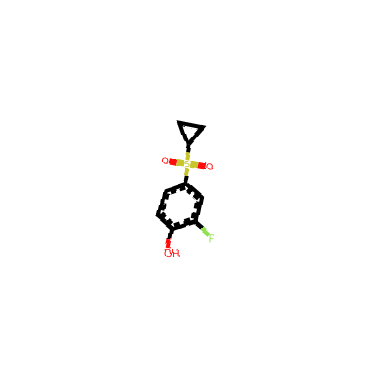 O=S(=O)(c1ccc(O)c(F)c1)C1CC1